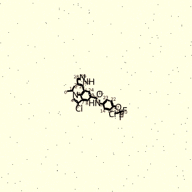 CC(C)n1cc(Cl)c2cc(C(=O)Nc3ccc(OC(F)(F)Cl)cc3)cc(-c3ccn[nH]3)c21